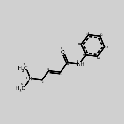 CN(C)CC=CC(=O)Nc1c[c]ccc1